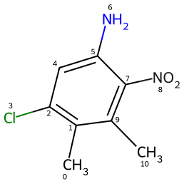 Cc1c(Cl)cc(N)c([N+](=O)[O-])c1C